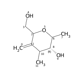 C=C1C(CO)OC(C)[C@H](O)C1C